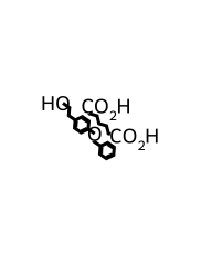 O=C(O)CCCCCC(=O)O.OCCc1ccc(OCc2ccccc2)cc1